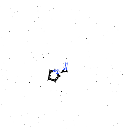 C1CN1.c1cc[nH]c1